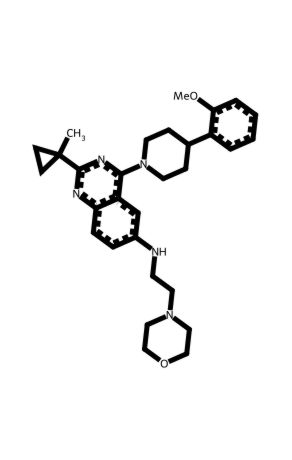 COc1ccccc1C1CCN(c2nc(C3(C)CC3)nc3ccc(NCCN4CCOCC4)cc23)CC1